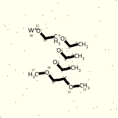 CC[O-].CC[O-].CC[O-].CC[O-].COCCOC.[W+4]